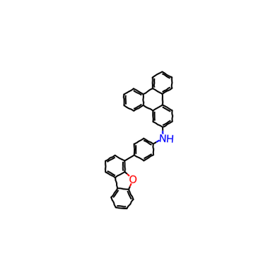 c1ccc2c(c1)oc1c(-c3ccc(Nc4ccc5c6ccccc6c6ccccc6c5c4)cc3)cccc12